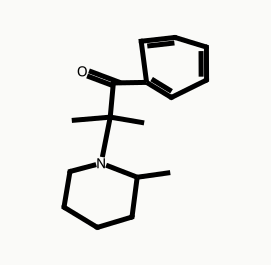 CC1CCCCN1C(C)(C)C(=O)c1ccccc1